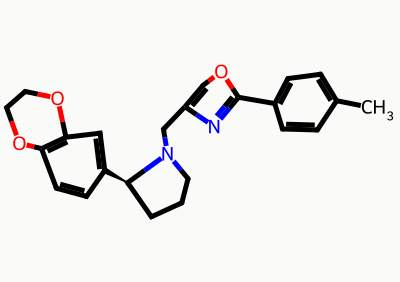 Cc1ccc(-c2nc(CN3CCC[C@H]3c3ccc4c(c3)OCCO4)co2)cc1